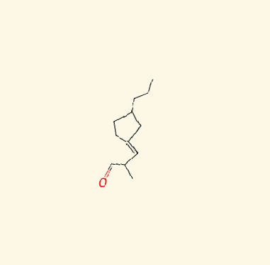 CCCC1CCC(=CC(C)C=O)C1